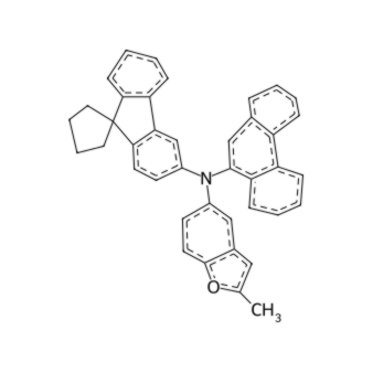 Cc1cc2cc(N(c3ccc4c(c3)-c3ccccc3C43CCCC3)c3cc4ccccc4c4ccccc34)ccc2o1